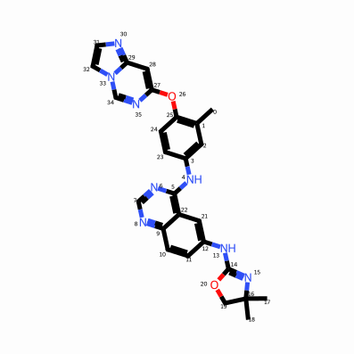 Cc1cc(Nc2ncnc3ccc(NC4=NC(C)(C)CO4)cc23)ccc1Oc1cc2nccn2cn1